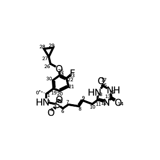 C[C@@H](NS(=O)(=O)CC/C=C/Cc1nc(=O)[nH]c(=O)[nH]1)c1ccc(F)c(OCC2CC2)c1